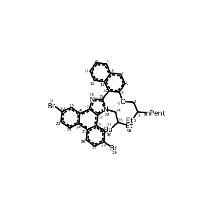 CCCCCC(CC)COc1ccc2ccccc2c1-c1nc2c3cc(Br)ccc3c3ccc(Br)cc3c2n1CC(CC)CCCC